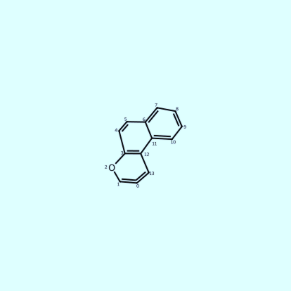 C1=COc2ccc3ccccc3c2C=1